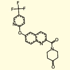 O=C1CCN(C(=O)c2ccc3cc(Oc4ccc(C(F)(F)F)cn4)ccc3n2)CC1